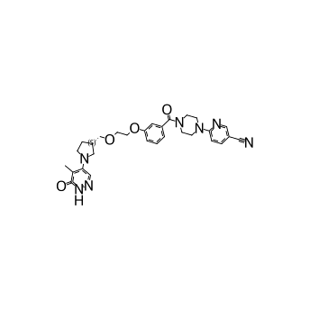 Cc1c(N2CC[C@H](COCCOc3cccc(C(=O)N4CCN(c5ccc(C#N)cn5)CC4)c3)C2)cn[nH]c1=O